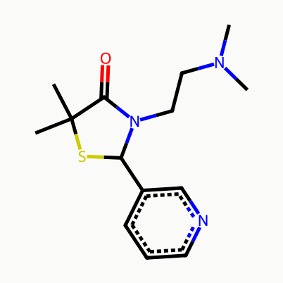 CN(C)CCN1C(=O)C(C)(C)SC1c1cccnc1